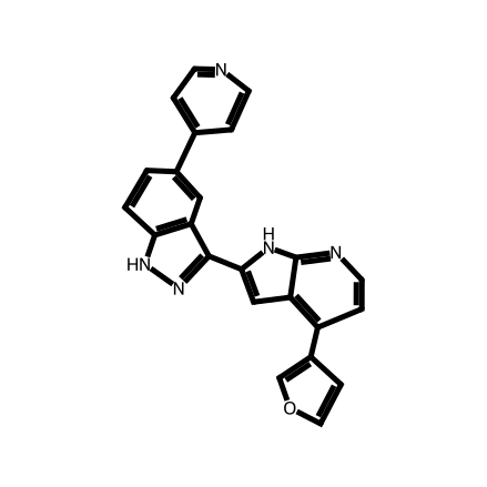 c1cc(-c2ccc3[nH]nc(-c4cc5c(-c6ccoc6)ccnc5[nH]4)c3c2)ccn1